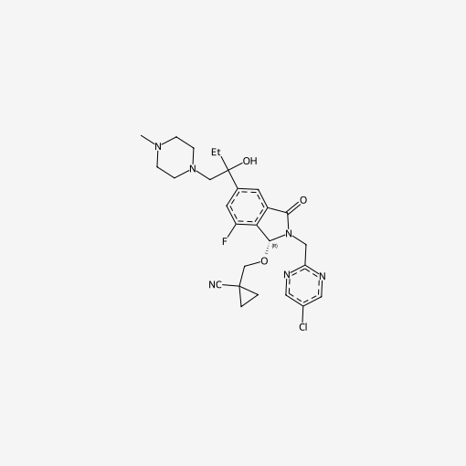 CCC(O)(CN1CCN(C)CC1)c1cc(F)c2c(c1)C(=O)N(Cc1ncc(Cl)cn1)[C@@H]2OCC1(C#N)CC1